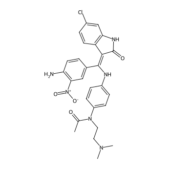 CC(=O)N(CCN(C)C)c1ccc(N/C(=C2\C(=O)Nc3cc(Cl)ccc32)c2ccc(N)c([N+](=O)[O-])c2)cc1